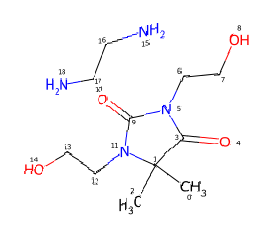 CC1(C)C(=O)N(CCO)C(=O)N1CCO.NCCN